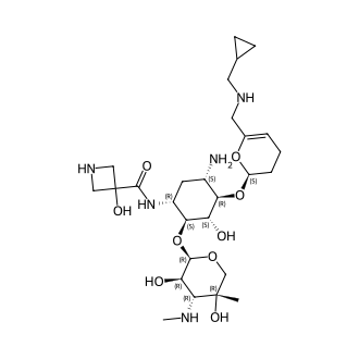 CN[C@@H]1[C@@H](O)[C@@H](O[C@@H]2[C@@H](O)[C@H](O[C@@H]3CCC=C(CNCC4CC4)O3)[C@@H](N)C[C@H]2NC(=O)C2(O)CNC2)OC[C@]1(C)O